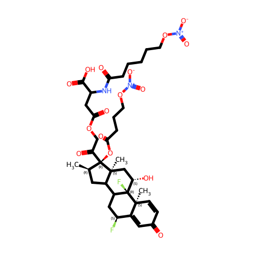 C[C@@H]1CC2C3C[C@H](F)C4=CC(=O)C=C[C@]4(C)[C@@]3(F)[C@@H](O)C[C@]2(C)[C@@]1(OC(=O)CCCO[N+](=O)[O-])C(=O)COC(=O)CC(NC(=O)CCCCCO[N+](=O)[O-])C(=O)O